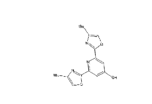 CC(C)(C)c1coc(-c2cc(O)cc(-c3nc(C(C)(C)C)co3)n2)n1